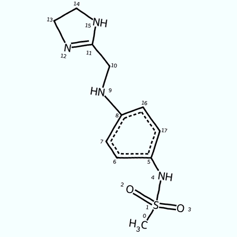 CS(=O)(=O)Nc1ccc(NCC2=NCCN2)cc1